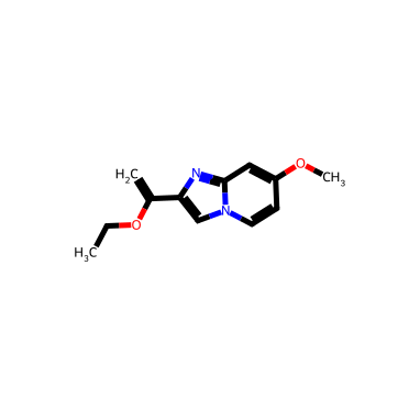 C=C(OCC)c1cn2ccc(OC)cc2n1